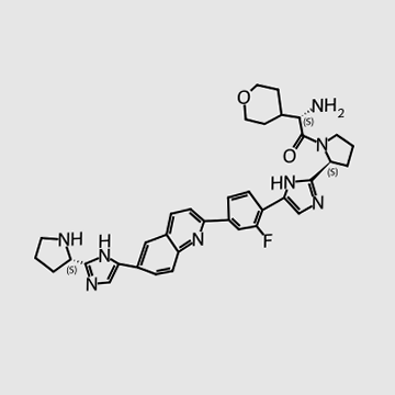 N[C@H](C(=O)N1CCC[C@H]1c1ncc(-c2ccc(-c3ccc4cc(-c5cnc([C@@H]6CCCN6)[nH]5)ccc4n3)cc2F)[nH]1)C1CCOCC1